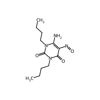 CCCCn1c(N)c(N=O)c(=O)n(CCCC)c1=O